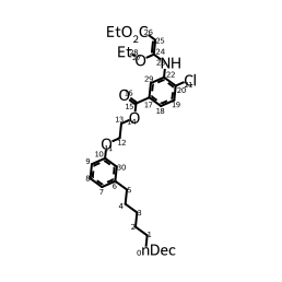 CCCCCCCCCCCCCCCc1cccc(OCCOC(=O)c2ccc(Cl)c(NC(=CC(=O)OCC)OCC)c2)c1